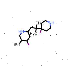 CC(C)(C)C1CNC(CC(C)(C)C2(I)CCNCC2)CC1I